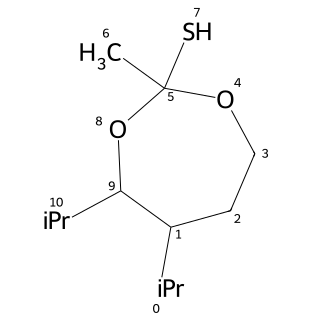 CC(C)C1CCOC(C)(S)OC1C(C)C